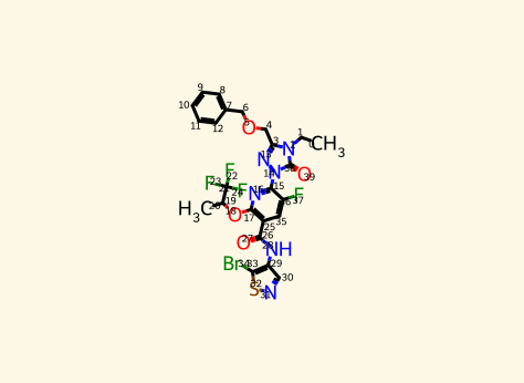 CCn1c(COCc2ccccc2)nn(-c2nc(OC(C)C(F)(F)F)c(C(=O)Nc3cnsc3Br)cc2F)c1=O